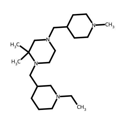 CCN1CCCC(CN2CCN(CC3CCN(C)CC3)CC2(C)C)C1